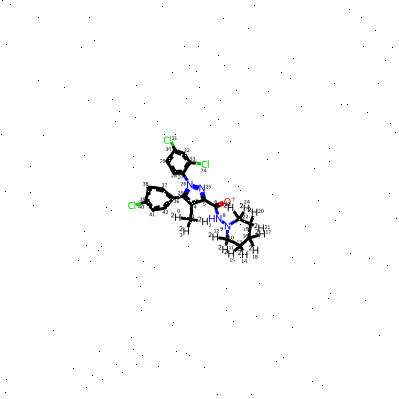 [2H]C([2H])([2H])c1c(C(=O)NN2C([2H])([2H])C([2H])([2H])C([2H])([2H])C([2H])([2H])C2([2H])[2H])nn(-c2ccc(Cl)cc2Cl)c1-c1ccc(Cl)cc1